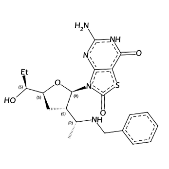 CC[C@H](O)[C@@H]1C[C@@H]([C@@H](C)NCc2ccccc2)[C@H](n2c(=O)sc3c(=O)[nH]c(N)nc32)O1